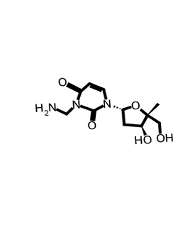 C[C@]1(CO)O[C@@H](n2ccc(=O)n(CN)c2=O)C[C@@H]1O